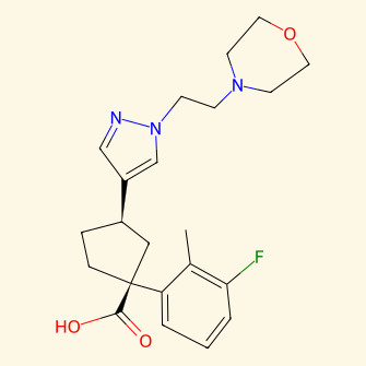 Cc1c(F)cccc1[C@]1(C(=O)O)CC[C@@H](c2cnn(CCN3CCOCC3)c2)C1